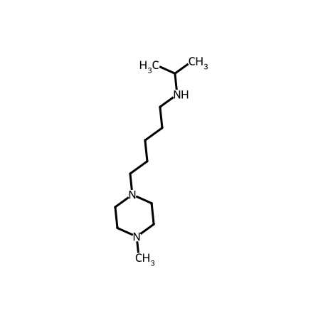 CC(C)NCCCCCN1CCN(C)CC1